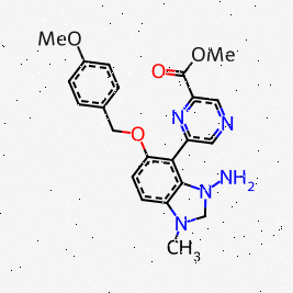 COC(=O)c1cncc(-c2c(OCc3ccc(OC)cc3)ccc3c2N(N)CN3C)n1